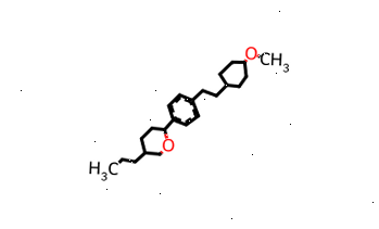 CCCC1CCC(c2ccc(CCC3CCC(OC)CC3)cc2)OC1